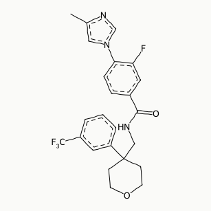 Cc1cn(-c2ccc(C(=O)NCC3(c4cccc(C(F)(F)F)c4)CCOCC3)cc2F)cn1